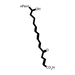 CCCCCC(O)CCCC=CC=CC=CC(=O)CC=CC(=O)O